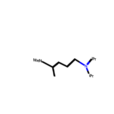 CNC(C)CCCN(C(C)C)C(C)C